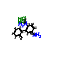 Cc1ccccc1-c1cc(N)ccc1N.Cl.Cl